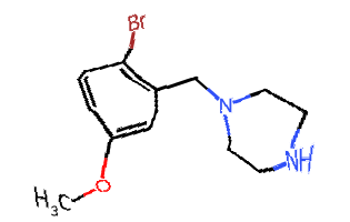 COc1ccc(Br)c(CN2CCNCC2)c1